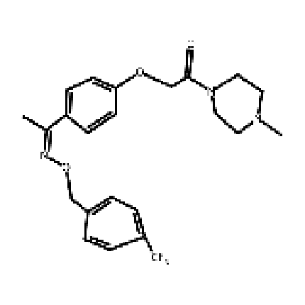 CC(=NOCc1ccc(C(F)(F)F)cc1)c1ccc(OCC(=O)N2CCN(C)CC2)cc1